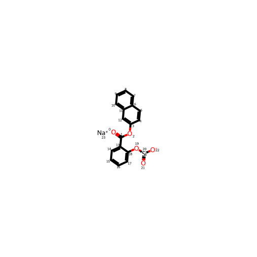 O=C(Oc1ccc2ccccc2c1)c1ccccc1O[Si](=O)[O-].[Na+]